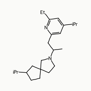 CCc1cc(C(C)C)cc(CC(C)N2CCC3(CCC(C(C)C)C3)C2)n1